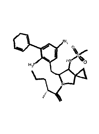 C=C([C@H](C)CCC)N1CC2(CC2)C(NS(C)(=O)=O)C1Cc1cc(P)cc(C2=CCCC=C2)c1P